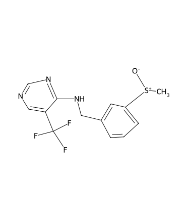 C[S+]([O-])c1cccc(CNc2ncncc2C(F)(F)F)c1